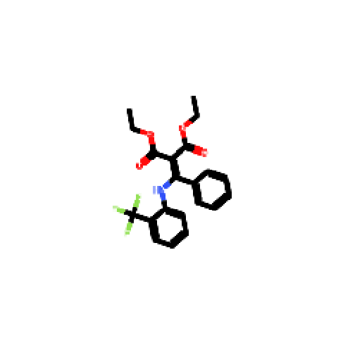 CCOC(=O)C(C(=O)OCC)=C(Nc1ccccc1C(F)(F)F)c1ccccc1